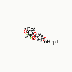 CCCCCCCCOc1ccc(OC(=O)c2ccc(OCCCCCCC)cc2)c(F)c1F